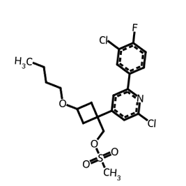 CCCCOC1CC(COS(C)(=O)=O)(c2cc(Cl)nc(-c3ccc(F)c(Cl)c3)c2)C1